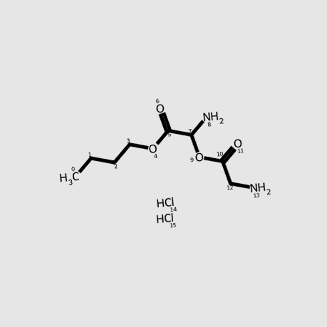 CCCCOC(=O)C(N)OC(=O)CN.Cl.Cl